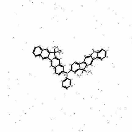 CC1(C)c2cc3ccccc3cc2-c2cc3ccc(N(c4ccccc4)c4ccc5c(c4)C(C)(C)c4cc6c(cc4-5)sc4ccccc46)cc3cc21